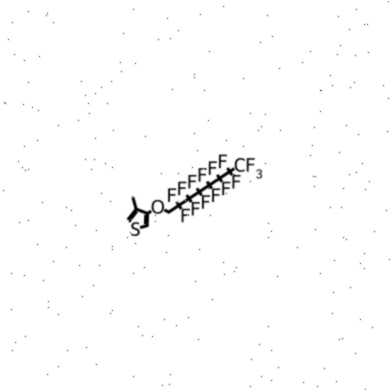 Cc1cscc1OCC(F)(F)C(F)(F)C(F)(F)C(F)(F)C(F)(F)C(F)(F)C(F)(F)F